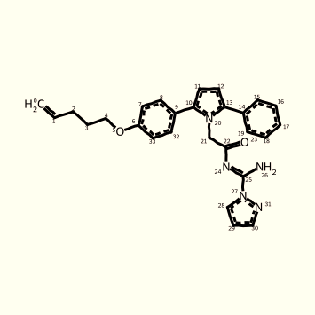 C=CCCCOc1ccc(-c2ccc(-c3ccccc3)n2CC(=O)/N=C(\N)n2cccn2)cc1